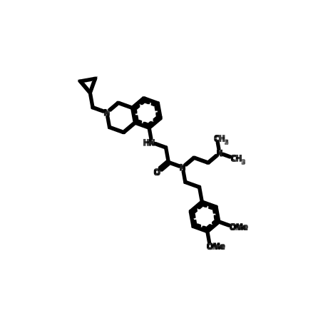 COc1ccc(CCN(CCN(C)C)C(=O)CNc2cccc3c2CCN(CC2CC2)C3)cc1OC